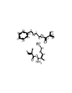 C=C(C)C(=O)OC(N)C(C)=CCCC(C)C.C=C(C)C(=O)OCCN=Cc1ccccc1